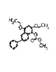 CCOc1cc(OCC)c2cc(-c3ccccc3)ccc2c1OC(=O)OC